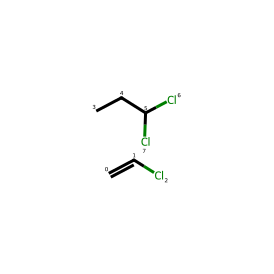 C=CCl.CCC(Cl)Cl